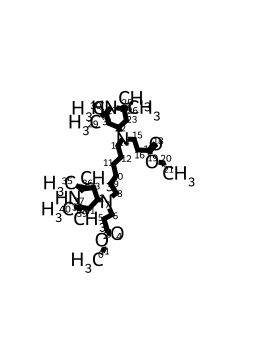 CCOC(=O)CCN(CCCCCCN(CCC(=O)OCC)C1CC(C)(C)NC(C)(C)C1)C1CC(C)(C)NC(C)(C)C1